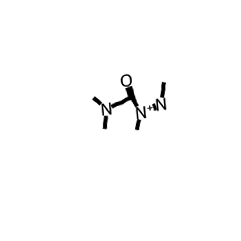 CN=[N+](C)C(=O)N(C)C